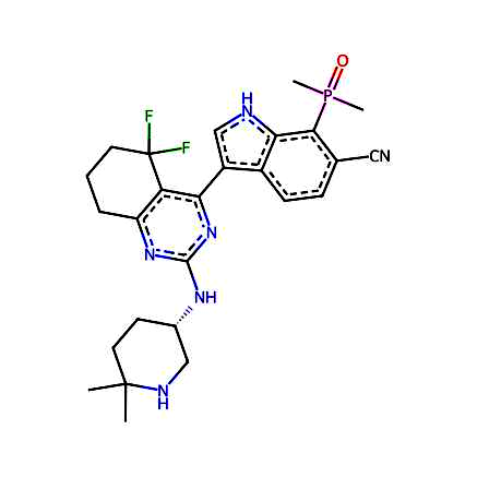 CC1(C)CC[C@H](Nc2nc3c(c(-c4c[nH]c5c(P(C)(C)=O)c(C#N)ccc45)n2)C(F)(F)CCC3)CN1